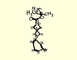 CC(C)(C)OC(=O)N1CC2(C1)CN(c1cccc(Br)c1)C2